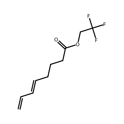 C=CC=CCCCC(=O)OCC(F)(F)F